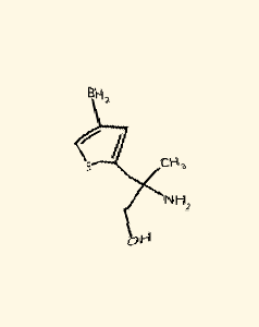 Bc1csc(C(C)(N)CO)c1